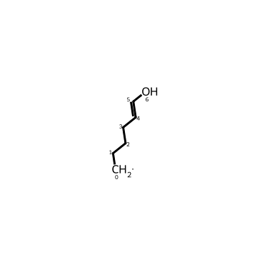 [CH2]CCCC=CO